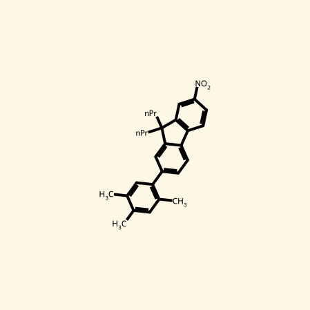 CCCC1(CCC)c2cc(-c3cc(C)c(C)cc3C)ccc2-c2ccc([N+](=O)[O-])cc21